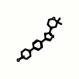 CC1(C)CN(c2ncc(-c3ccc(N4CC[S+]([O-])CC4)cc3)s2)CCO1